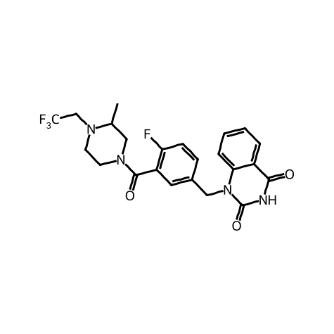 CC1CN(C(=O)c2cc(Cn3c(=O)[nH]c(=O)c4ccccc43)ccc2F)CCN1CC(F)(F)F